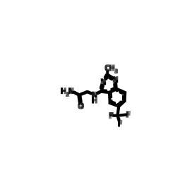 Cc1nc(NCC(N)=O)c2cc(C(F)(F)F)ccc2n1